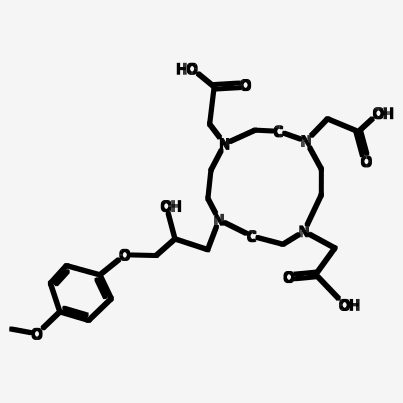 COc1ccc(OCC(O)CN2CCN(CC(=O)O)CCN(CC(=O)O)CCN(CC(=O)O)CC2)cc1